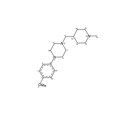 COc1ccc(N2CCN(CC3CCN(C)CC3)CC2)cc1